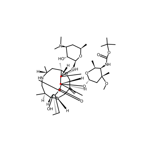 C=C1CO[C@@H]2[C@@H](C)CN[C@H](C)C[C@@](C)(OC1)[C@H](O[C@@H]1O[C@H](C)C[C@H](N(C)C)[C@H]1O)[C@@H](C)[C@H](O[C@H]1C[C@@](C)(OC)[C@H](NC(=O)OC(C)(C)C)[C@H](C)O1)[C@@H](C)C(=O)O[C@H](CC)[C@@]2(C)O